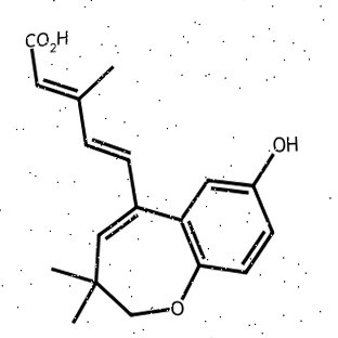 CC(/C=C/C1=CC(C)(C)COc2ccc(O)cc21)=C\C(=O)O